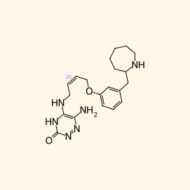 Nc1nnc(=O)[nH]c1NC/C=C\COc1cccc(CC2CCCCCN2)c1